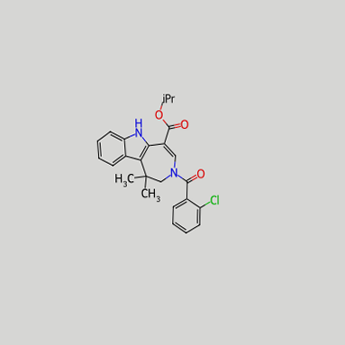 CC(C)OC(=O)C1=CN(C(=O)c2ccccc2Cl)CC(C)(C)c2c1[nH]c1ccccc21